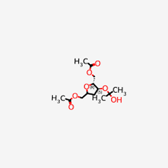 CC(=O)OCC1C[C@H](OC(C)(C)O)[C@@H](COC(C)=O)O1